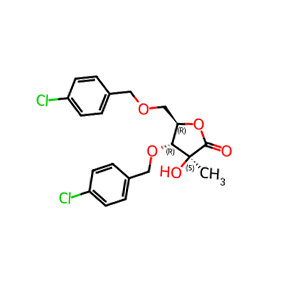 C[C@@]1(O)C(=O)O[C@H](COCc2ccc(Cl)cc2)[C@H]1OCc1ccc(Cl)cc1